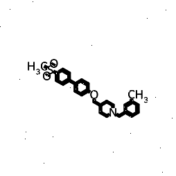 Cc1cccc(CN2CCC(COc3ccc(-c4ccc(S(C)(=O)=O)cc4)cc3)CC2)c1